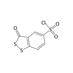 O=c1ssc2ccc(S(=O)(=O)Cl)cc12